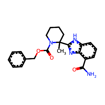 CC1(c2nc3c(C(N)=O)cccc3[nH]2)CCCCN1C(=O)OCc1ccccc1